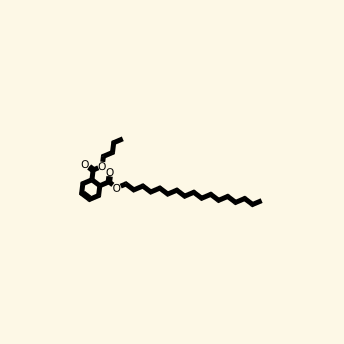 CCCCCCCCCCCCCCCCCOC(=O)C1CC=CCC1C(=O)OCCCC